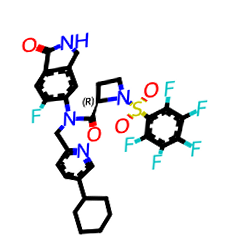 O=C1NCc2cc(N(Cc3ccc(C4CCCCC4)cn3)C(=O)[C@H]3CCN3S(=O)(=O)c3c(F)c(F)c(F)c(F)c3F)c(F)cc21